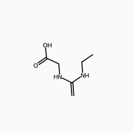 C=C(NCC)NCC(=O)O